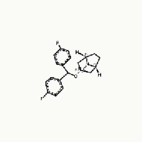 CN1[C@@H]2CC[C@H]1C[C@@H](OC(c1ccc(F)cc1)c1ccc(F)cc1)C2